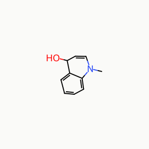 CN1C=CC(O)c2ccccc21